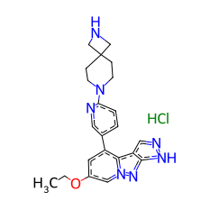 CCOc1cc(-c2ccc(N3CCC4(CC3)CNC4)nc2)c2c3cn[nH]c3nn2c1.Cl